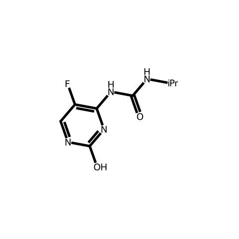 CC(C)NC(=O)Nc1nc(O)ncc1F